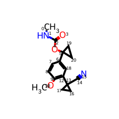 CNC(=O)OC1(c2ccc(OC)c(C3(C#N)CC3)c2)CC1